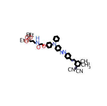 [C-]#[N+]/C(C#N)=C1C=C(/C=C/c2ccc(/N=N/c3ccc(N(c4ccccc4)c4ccc(OCC(=O)NCCC[Si](OCC)(OCC)OCC)cc4)cc3)cc2)CC(C)(C)C\1